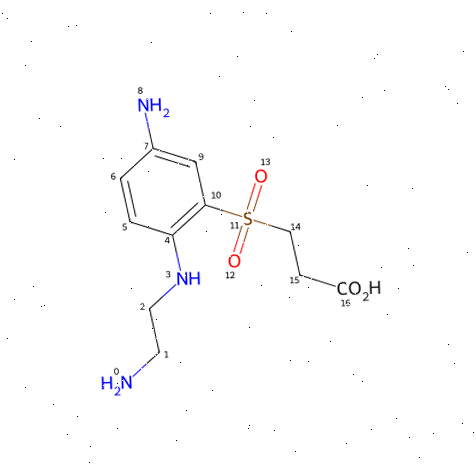 NCCNc1ccc(N)cc1S(=O)(=O)CCC(=O)O